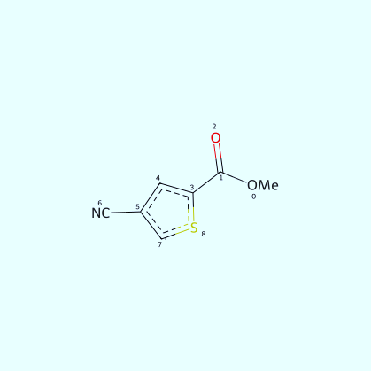 COC(=O)c1cc(C#N)[c]s1